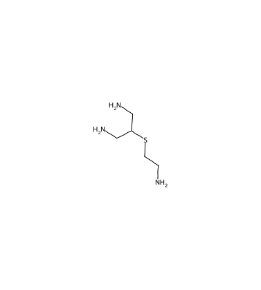 NCCSC(CN)CN